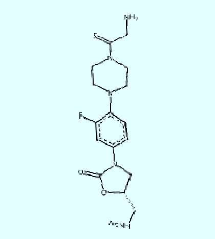 CC(=O)NC[C@H]1CN(c2ccc(N3CCN(C(=S)CN)CC3)c(F)c2)C(=O)O1